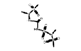 CN(NC(=O)NS(=O)(=O)N(C)S(C)(=O)=O)S(C)(=O)=O